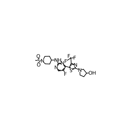 CS(=O)(=O)N1CCC(Nc2ncc(F)c(-c3sc(N4CCC(O)C4)nc3C(F)(F)F)n2)CC1